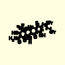 CC(C)CCN(Cc1cc(O)c2c(c1F)C[C@H]1C[C@H]3[C@H](N(C)C)C(O)=C(C(N)=O)C(=O)[C@@]3(O)C(O)=C1C2=O)C(C)C